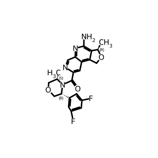 C[C@H]1OCc2c1c(N)nc1cnc(C(=O)N3[C@@H](C)COC[C@H]3c3cc(F)cc(F)c3)cc21